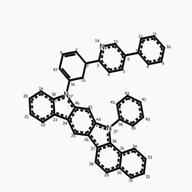 C1=CC(c2ccc(-c3ccccc3)cn2)CC(n2c3ccccc3c3cc4c5ccc6ccccc6c5n(-c5ccccc5)c4cc32)=C1